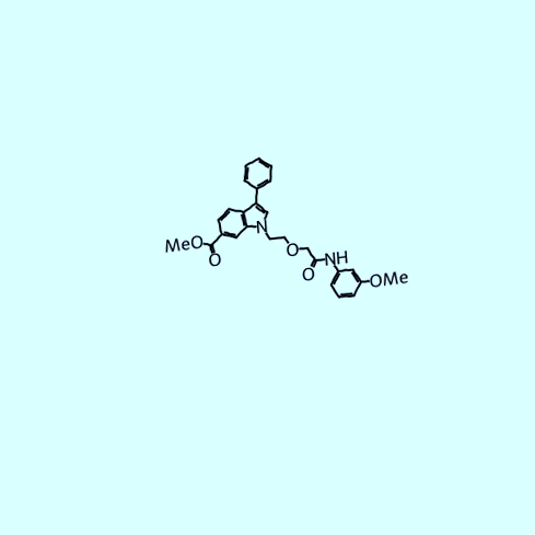 COC(=O)c1ccc2c(-c3ccccc3)cn(CCOCC(=O)Nc3cccc(OC)c3)c2c1